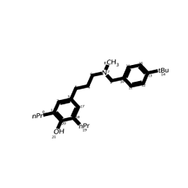 CCCc1cc(CCCN(C)Cc2ccc(C(C)(C)C)cc2)cc(CCC)c1O